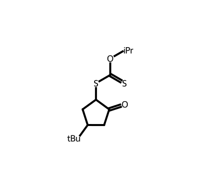 CC(C)OC(=S)SC1CC(C(C)(C)C)CC1=O